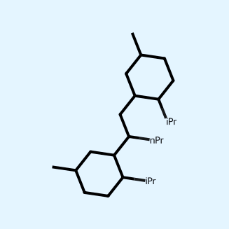 CCCC(CC1CC(C)CCC1C(C)C)C1CC(C)CCC1C(C)C